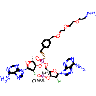 BP(=O)(OC)O[C@H]1[C@@H](F)[C@H](n2cnc3c(N)ncnc32)O[C@@H]1CO[P@@](=O)(O[C@H]1[C@@H](F)[C@H](n2cnc3c(N)ncnc32)O[C@@H]1C)SCc1ccc(COCCOCCOCCN)cc1